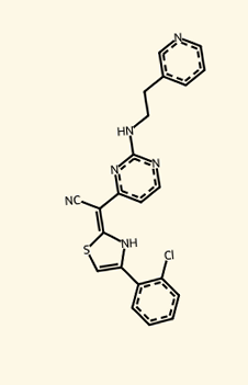 N#C/C(=C1/NC(c2ccccc2Cl)=CS1)c1ccnc(NCCc2cccnc2)n1